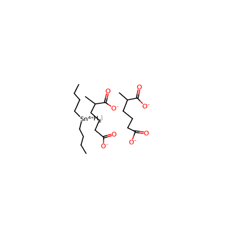 CC(CCCC(=O)[O-])C(=O)[O-].CC(CCCC(=O)[O-])C(=O)[O-].CCC[CH2][SnH2+4][CH2]CCC